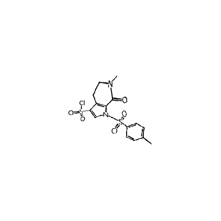 Cc1ccc(S(=O)(=O)n2cc(S(=O)(=O)Cl)c3c2C(=O)N(C)CC3)cc1